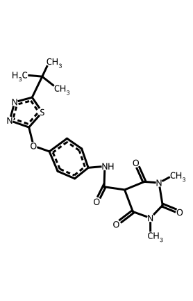 CN1C(=O)C(C(=O)Nc2ccc(Oc3nnc(C(C)(C)C)s3)cc2)C(=O)N(C)C1=O